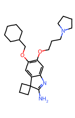 NC1=Nc2cc(OCCCN3CCCC3)c(OCC3CCCCC3)cc2C12CCC2